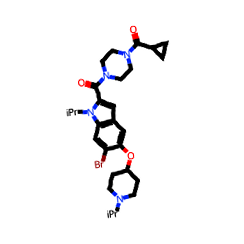 CC(C)N1CCC(Oc2cc3cc(C(=O)N4CCN(C(=O)C5CC5)CC4)n(C(C)C)c3cc2Br)CC1